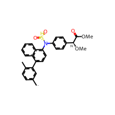 [CH2]c1ccc(C)c(-c2ccc(N(c3ccc([C@H](OC)C(=O)OC)cc3)[SH](=O)=O)c3ccccc23)c1